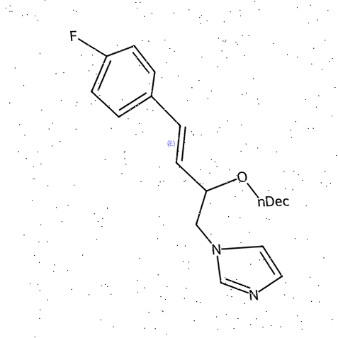 CCCCCCCCCCOC(/C=C/c1ccc(F)cc1)Cn1ccnc1